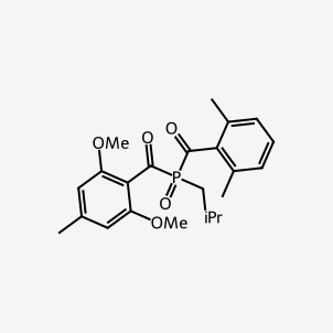 COc1cc(C)cc(OC)c1C(=O)P(=O)(CC(C)C)C(=O)c1c(C)cccc1C